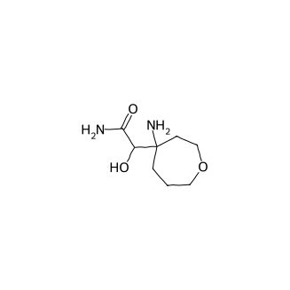 NC(=O)C(O)C1(N)CCCOCC1